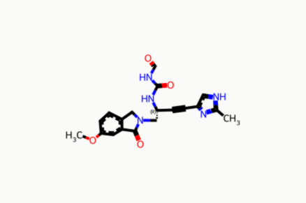 COc1ccc2c(c1)C(=O)N(C[C@@H](C#Cc1c[nH]c(C)n1)NC(=O)NC=O)C2